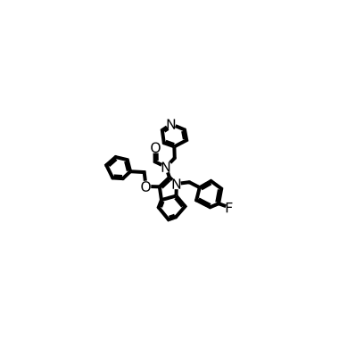 O=CN(Cc1ccncc1)c1c(OCc2ccccc2)c2ccccc2n1Cc1ccc(F)cc1